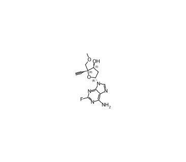 C#C[C@]1(COC)O[C@@H](n2cnc3c(N)nc(F)nc32)C[C@@H]1O